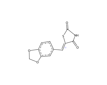 O=C1NC(=O)/C(=C/c2ccc3c(c2)OCO3)S1